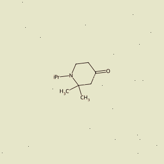 CC(C)N1CCC(=O)CC1(C)C